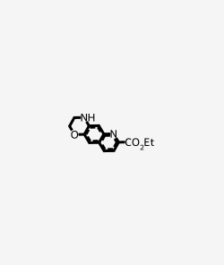 CCOC(=O)c1ccc2cc3c(cc2n1)NCCO3